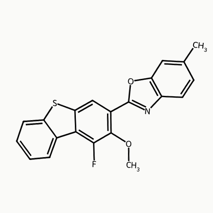 COc1c(-c2nc3ccc(C)cc3o2)cc2sc3ccccc3c2c1F